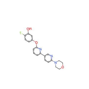 Oc1cc(Oc2cccc(-c3ccc(N4CCOCC4)nc3)n2)ccc1F